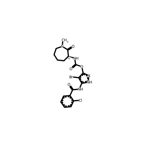 CN1CCCC[C@H](NC(=O)Oc2n[nH]c(NC(=O)c3ccccc3Cl)c2Br)C1=O